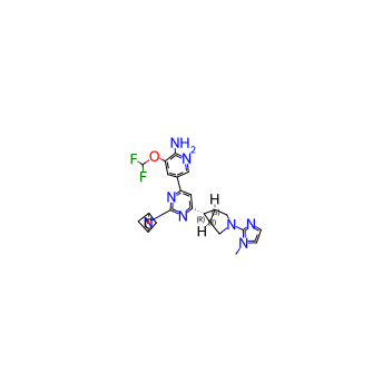 Cn1ccnc1N1C[C@@H]2[C@H](C1)[C@H]2c1cc(-c2cnc(N)c(OC(F)F)c2)nc(N2CC3CC2C3)n1